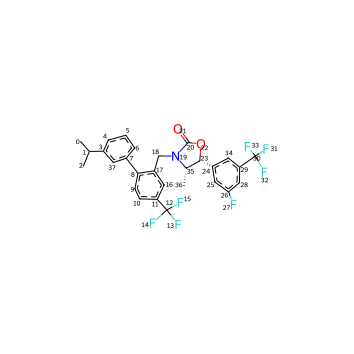 CC(C)c1cccc(-c2ccc(C(F)(F)F)cc2CN2C(=O)O[C@H](c3cc(F)cc(C(F)(F)F)c3)[C@@H]2C)c1